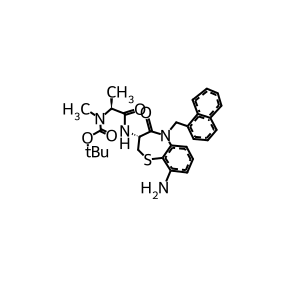 C[C@@H](C(=O)N[C@H]1CSc2c(N)cccc2N(Cc2cccc3ccccc23)C1=O)N(C)C(=O)OC(C)(C)C